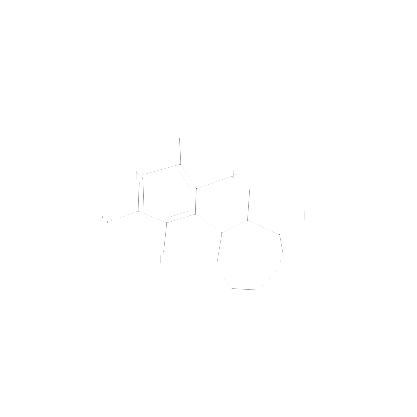 CC1C(c2c(F)c(F)nc(C#N)c2F)OCCOC1C(F)(F)F